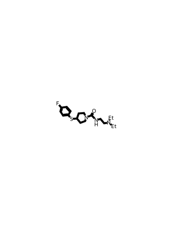 CCN(CC)CCNC(=O)N1CCC(Sc2ccc(F)cc2)CC1